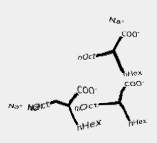 CCCCCCCCC(CCCCCC)C(=O)[O-].CCCCCCCCC(CCCCCC)C(=O)[O-].CCCCCCCCC(CCCCCC)C(=O)[O-].[Na+].[Na+].[Na+]